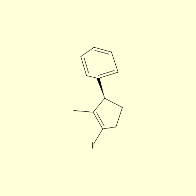 CC1=C(I)CC[C@@H]1c1ccccc1